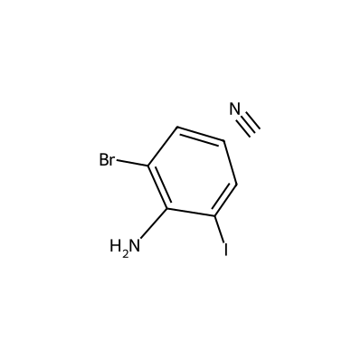 C#N.Nc1c(Br)cccc1I